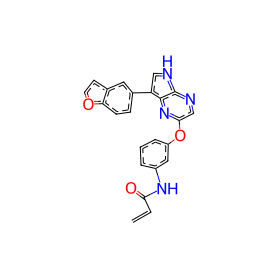 C=CC(=O)Nc1cccc(Oc2cnc3[nH]cc(-c4ccc5occc5c4)c3n2)c1